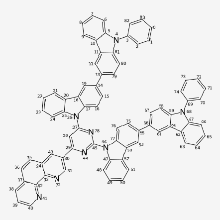 c1ccc(-n2c3ccccc3c3cc(-c4ccc5c(c4)c4ccccc4n5-c4cc(-c5cnc6c(ccc7cccnc76)c5)nc(-n5c6ccccc6c6cc(-c7ccc8c(c7)c7ccccc7n8-c7ccccc7)ccc65)n4)ccc32)cc1